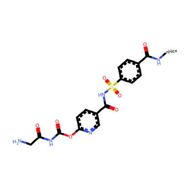 CCCCCCNC(=O)c1ccc(S(=O)(=O)NC(=O)c2ccc(OC(=O)NC(=O)CN)nc2)cc1